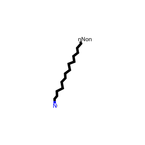 CCCCCCCCCCCCCCCCCCCCCCC[N]